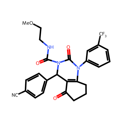 COCCNC(=O)N1C(=O)N(c2cccc(C(F)(F)F)c2)C2=C(C(=O)CCC2)C1c1ccc(C#N)cc1